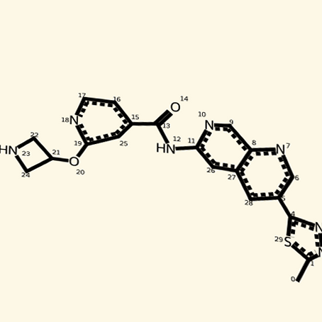 Cc1nnc(-c2cnc3cnc(NC(=O)c4ccnc(OC5CNC5)c4)cc3c2)s1